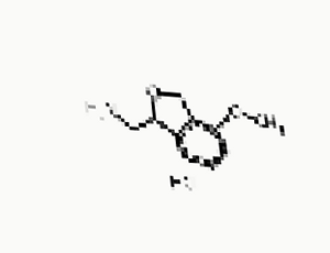 COc1cccc2c1COC2CN.Cl